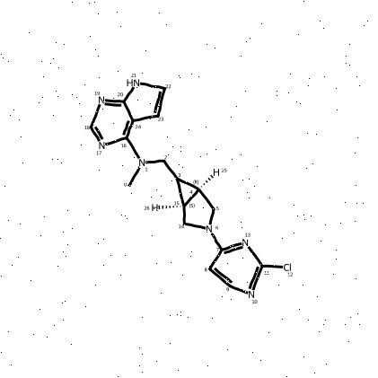 CN(CC1[C@H]2CN(c3ccnc(Cl)n3)C[C@@H]12)c1ncnc2[nH]ccc12